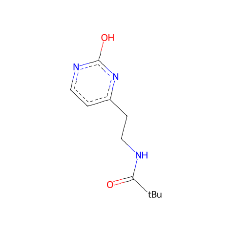 CC(C)(C)C(=O)NCCc1ccnc(O)n1